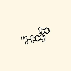 O=C(O)C1Oc2cc(Cl)c(S(=O)(=O)c3ccccc3Cl)cc2O1